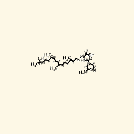 C/C(=C\CSC[C@H](NC(=O)N(CC#N)CC(N)=O)C(=O)O)CCCC(C)CCCC(C)CCCC(C)C